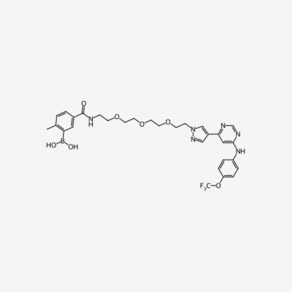 Cc1ccc(C(=O)NCCOCCOCCOCCn2cc(-c3cc(Nc4ccc(OC(F)(F)F)cc4)ncn3)cn2)cc1B(O)O